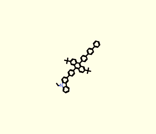 CCn1c2ccccc2c2cc(-c3ccc(-c4c5ccc(C(C)(C)C)cc5c(-c5ccc(-c6ccc(-c7ccccc7)cc6)cc5)c5ccc(C(C)(C)C)cc45)cc3)ccc21